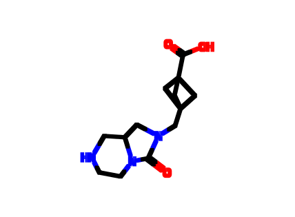 O=C1N(CC23CC(C(=O)O)(C2)C3)CC2CNCCN12